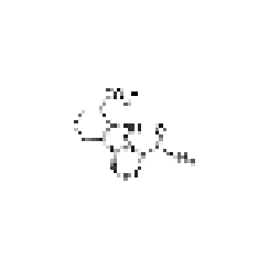 NC(=O)c1cccc2c3c([nH]c12)C(C(=O)O)CCC3